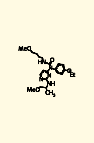 CCOc1ccc(N(C(=O)NCCCCOC)c2ccnc(NC(C)COC)n2)cc1